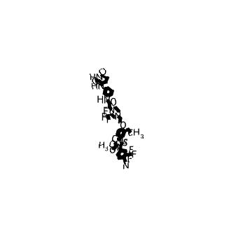 CCc1cc(N2C(=S)N(c3ccc(C#N)c(C(F)(F)F)c3)C(=O)C2(C)C)ccc1OCCN1CCN(CC(=O)Nc2cccc(NC3CCC(=O)NC3=O)c2)[C@H](C(F)(F)F)C1